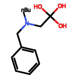 CCCCN(Cc1ccccc1)CC(O)(O)O